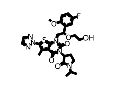 COc1ccc(F)cc1C(Cn1c(=O)n(C2CCN(C(C)C)C2=O)c(=O)c2c(C)c(-n3nccn3)sc21)OCCO